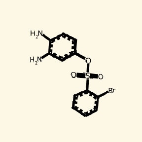 Nc1ccc(OS(=O)(=O)c2ccccc2Br)cc1N